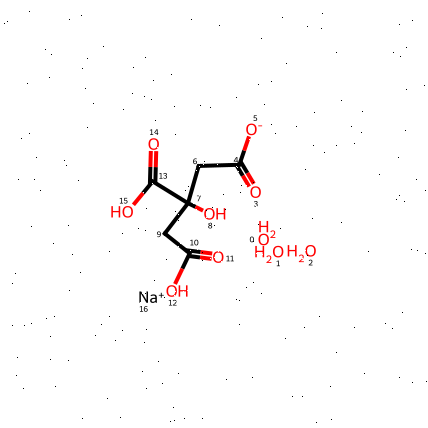 O.O.O.O=C([O-])CC(O)(CC(=O)O)C(=O)O.[Na+]